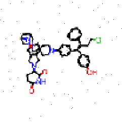 O=C1CCC(N2Cc3ccc(N4C5CC4CN(CC4CCN(c6ccc(C(=C(CCCl)c7ccccc7)c7ccc(O)cc7)cc6)CC4)C5)cc3C2)C(=O)N1